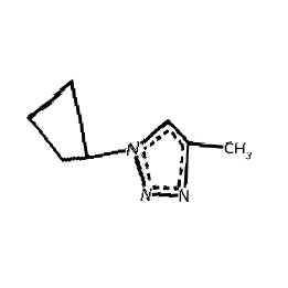 Cc1cn(C2CCC2)nn1